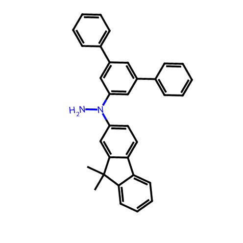 CC1(C)c2ccccc2-c2ccc(N(N)c3cc(-c4ccccc4)cc(-c4ccccc4)c3)cc21